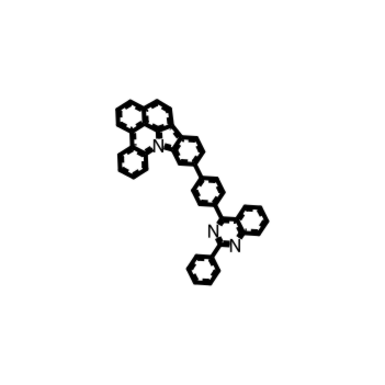 c1ccc(-c2nc(-c3ccc(-c4ccc5c6ccc7cccc8c9ccccc9n(c5c4)c6c78)cc3)c3ccccc3n2)cc1